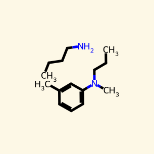 CCCCN.CCCN(C)c1cccc(C)c1